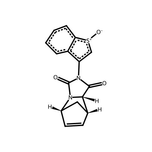 O=C1[C@@H]2[C@@H]3C=C[C@@H](C3)N2C(=O)N1c1c[s+]([O-])c2ccccc12